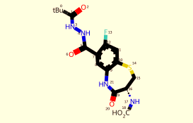 CC(C)(C)C(=O)NNC(=O)c1cc2c(cc1F)SC[C@H](NC(=O)O)C(=O)N2